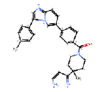 CC1(C(=N)/C=C\N)CCN(C(=O)c2ccc(-c3ccc4ncc(-c5ccc(C#N)cc5)n4c3)cc2)CC1